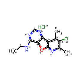 CCNc1ncnc2c1oc1nc(C)c(Cl)c(C)c12.Cl